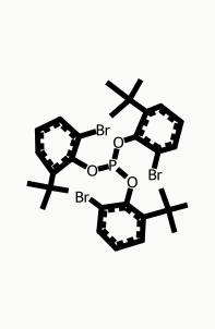 CC(C)(C)c1cccc(Br)c1OP(Oc1c(Br)cccc1C(C)(C)C)Oc1c(Br)cccc1C(C)(C)C